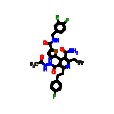 CC(C)Cc1nc(CCc2ccc(F)cc2)c(C(=O)NNC(=O)C(F)(F)F)c(-c2ccc(C(=O)NCc3ccc(F)c(F)c3)s2)c1C(N)=O